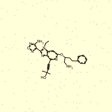 CCn1c(-c2nonc2N)nc2c(C#CC(C)(C)O)nc(OC(CN)CCc3ccccc3)cc21